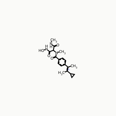 CNC(=O)C(C(=O)NO)N(C)C(=O)c1ccc(/C(C)=C(\C)C2CC2)cc1